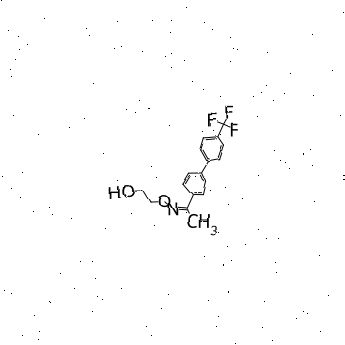 C/C(=N/OCCO)c1ccc(-c2ccc(C(F)(F)F)cc2)cc1